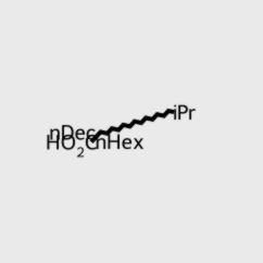 CCCCCCCCCCC(CCCCCC)(CCCCCCCCCCCCCC(C)C)C(=O)O